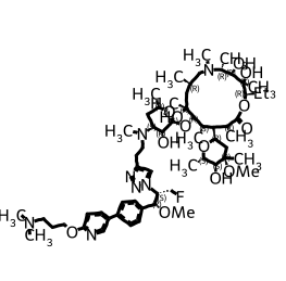 CC[C@H]1OC(=O)[C@H](C)C([C@H]2C[C@@](C)(OC)[C@@H](O)[C@H](C)O2)[C@H](C)[C@@H](O[C@@H]2O[C@H](C)C[C@H](N(C)CCc3cn([C@H](CF)[C@H](OC)c4ccc(-c5ccc(OCCCN(C)C)nc5)cc4)nn3)[C@H]2O)[C@](C)(O)C[C@@H](C)CN(C)[C@H](C)[C@@H](O)[C@]1(C)O